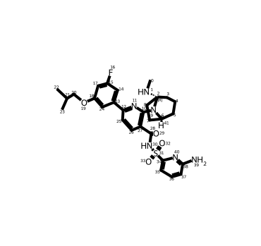 CN[C@@]12CCC[C@H](CC1)N2c1nc(-c2cc(F)cc(OCC(C)C)c2)ccc1C(=O)NS(=O)(=O)c1cccc(N)n1